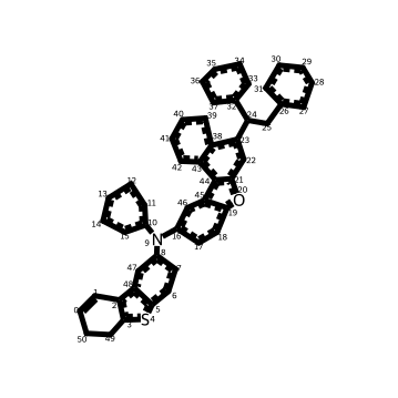 C1=Cc2c(sc3ccc(N(c4ccccc4)c4ccc5oc6cc(C(Cc7ccccc7)c7ccccc7)c7ccccc7c6c5c4)cc23)CC1